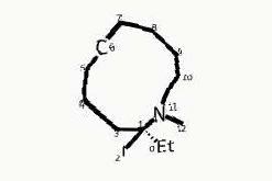 CC[C@]1(I)CCCCCCCCN1C